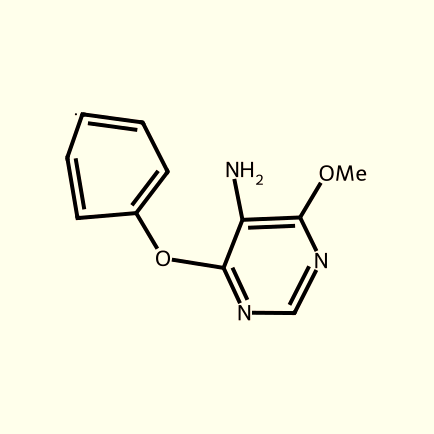 COc1ncnc(Oc2cc[c]cc2)c1N